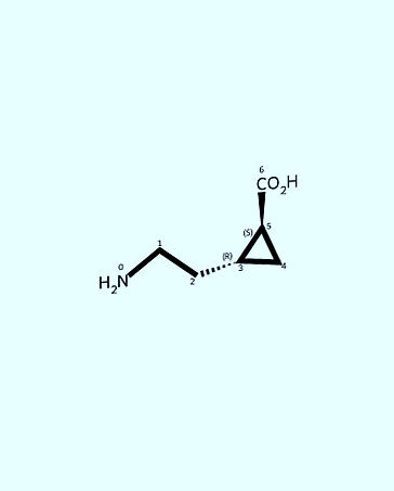 NCC[C@H]1C[C@@H]1C(=O)O